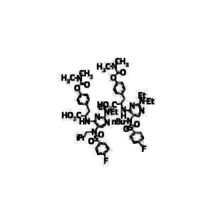 CCCCN(c1cnc(N(CC)CC)nc1NC(Cc1ccc(OC(=O)N(C)C)cc1)C(=O)O)S(=O)(=O)c1ccc(F)cc1.CCN(CC)c1ncc(N(CC(C)C)S(=O)(=O)c2ccc(F)cc2)c(NC(Cc2ccc(OC(=O)N(C)C)cc2)C(=O)O)n1